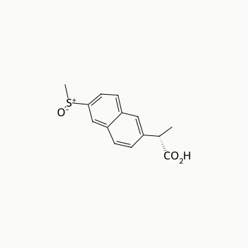 C[C@H](C(=O)O)c1ccc2cc([S+](C)[O-])ccc2c1